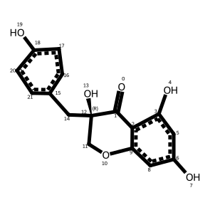 O=C1c2c(O)cc(O)cc2OC[C@]1(O)Cc1ccc(O)cc1